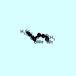 CCCN1CCN(C(=O)c2ccc(-c3cccc(OCc4cc(OC)cc5oc(-c6cn7nc(C)sc7n6)cc45)c3)cc2)C(C)C1